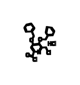 Cl.O=C(Cl)c1cc(OCc2ccccc2)c(OCc2ccccc2)c(CCl)n1